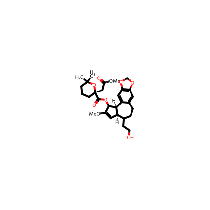 COC(=O)C[C@@]1(C(=O)OC2C(OC)=C[C@@H]3C(CCO)CCc4cc5c(cc4[C@H]23)OCO5)CCCC(C)(C)O1